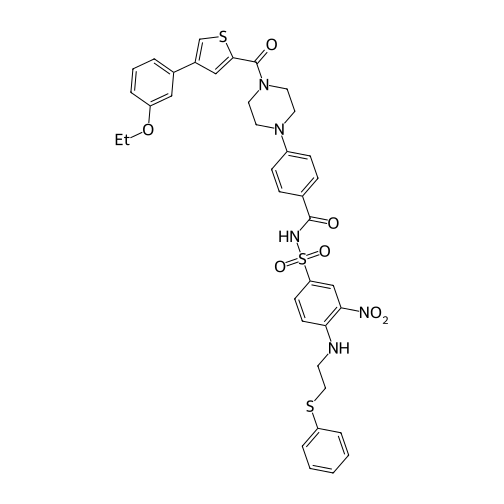 CCOc1cccc(-c2csc(C(=O)N3CCN(c4ccc(C(=O)NS(=O)(=O)c5ccc(NCCSc6ccccc6)c([N+](=O)[O-])c5)cc4)CC3)c2)c1